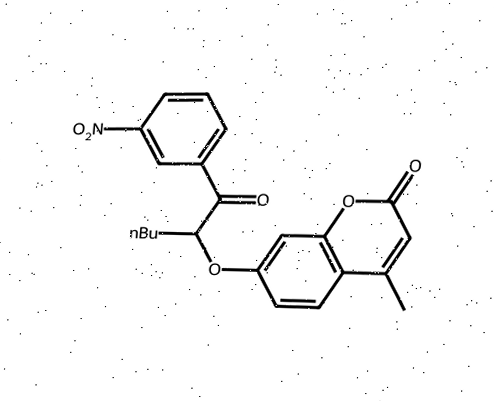 CCCCC(Oc1ccc2c(C)cc(=O)oc2c1)C(=O)c1cccc([N+](=O)[O-])c1